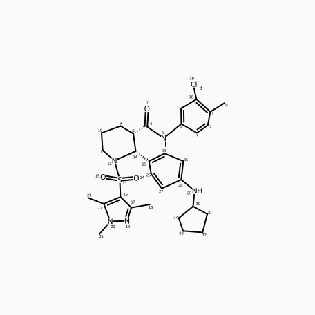 Cc1ccc(NC(=O)[C@H]2CCCN(S(=O)(=O)c3c(C)nn(C)c3C)[C@H]2c2ccc(NC3CCCC3)cc2)cc1C(F)(F)F